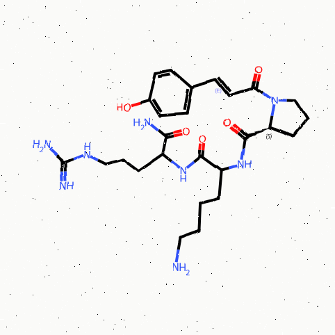 N=C(N)NCCCC(NC(=O)C(CCCCN)NC(=O)[C@@H]1CCCN1C(=O)/C=C/c1ccc(O)cc1)C(N)=O